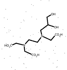 O=C(O)CN(CCN(CC(=O)O)CC(O)CO)CC(=O)O